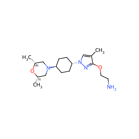 Cc1cn([C@H]2CC[C@H](N3C[C@@H](C)O[C@@H](C)C3)CC2)nc1OCCN